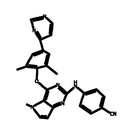 Cc1cc(-c2ccncn2)cc(C)c1Oc1nc(Nc2ccc(C#N)cc2)nc2ccn(C)c12